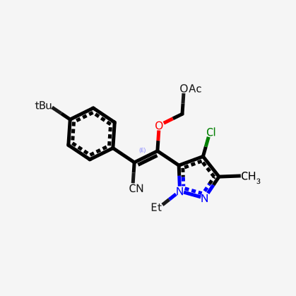 CCn1nc(C)c(Cl)c1/C(OCOC(C)=O)=C(\C#N)c1ccc(C(C)(C)C)cc1